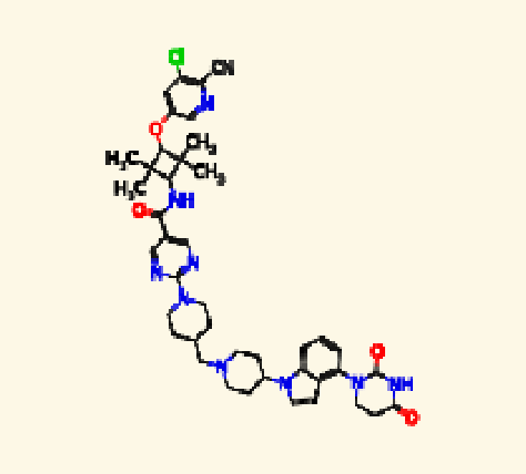 CC1(C)C(NC(=O)c2cnc(N3CCC(CN4CCC(n5ccc6c(N7CCC(=O)NC7=O)cccc65)CC4)CC3)nc2)C(C)(C)C1Oc1cnc(C#N)c(Cl)c1